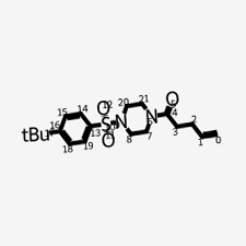 C=CCCC(=O)N1CCN(S(=O)(=O)c2ccc(C(C)(C)C)cc2)CC1